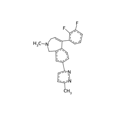 Cc1ccc(-c2ccc3c(c2)CN(C)CC=C3c2cccc(F)c2F)nn1